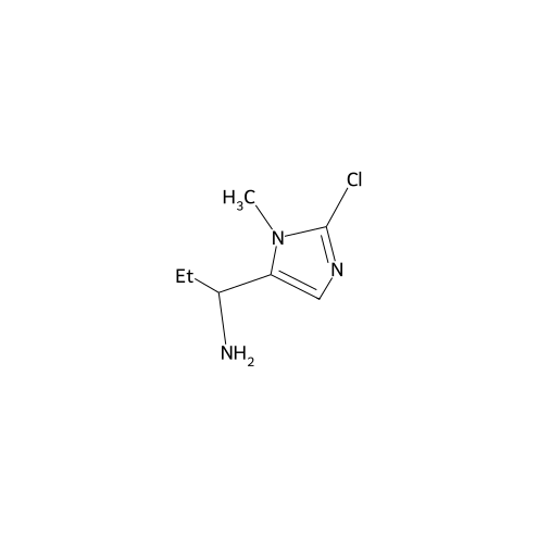 CCC(N)c1cnc(Cl)n1C